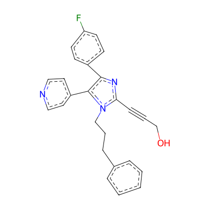 OCC#Cc1nc(-c2ccc(F)cc2)c(-c2ccncc2)n1CCCc1ccccc1